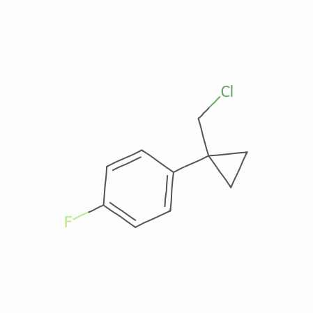 Fc1ccc(C2(CCl)CC2)cc1